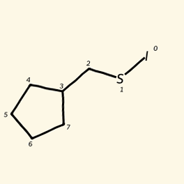 ISCC1CCCC1